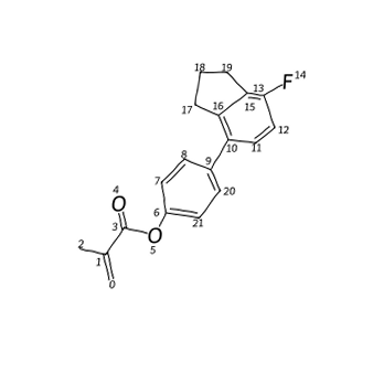 C=C(C)C(=O)Oc1ccc(-c2ccc(F)c3c2CCC3)cc1